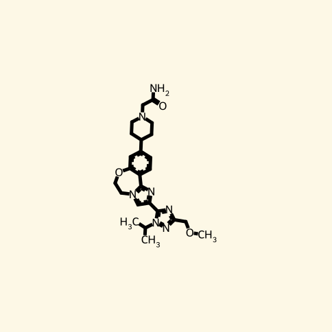 COCc1nc(-c2cn3c(n2)-c2ccc(C4CCN(CC(N)=O)CC4)cc2OCC3)n(C(C)C)n1